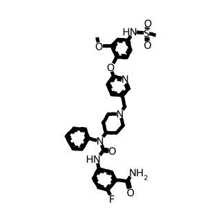 COc1cc(NS(C)(=O)=O)ccc1Oc1ccc(CN2CCC(N(C(=O)Nc3ccc(F)c(C(N)=O)c3)c3ccccc3)CC2)cn1